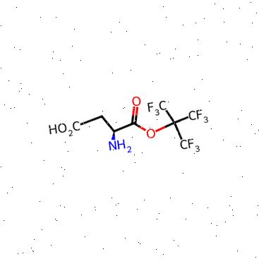 N[C@@H](CC(=O)O)C(=O)OC(C(F)(F)F)(C(F)(F)F)C(F)(F)F